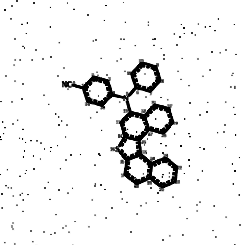 N#Cc1ccc(N(c2ccccc2)c2cc3sc4ccc5ccccc5c4c3c3ccccc23)cc1